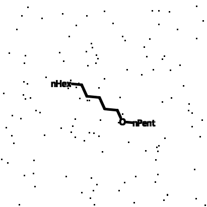 [CH2]CCCCCCCCCCOCCCCC